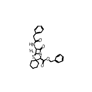 O=C(Cc1ccccc1)NC1C(=O)N2C(C(=O)OCc3ccccc3)C3(CCCCC3)S[C@@H]12